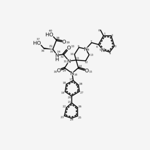 Cc1cccnc1CN1CCC2(CC1)C(=O)N(c1ccc(-c3ccccc3)cc1)C(=O)N2C(=O)N[C@@H](CO)C(=O)O